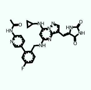 CC(=O)Nc1ccc(-c2cc(F)ccc2CNc2cc(NC3CC3)n3ncc(/C=C4\NC(=O)NC4=O)c3n2)cn1